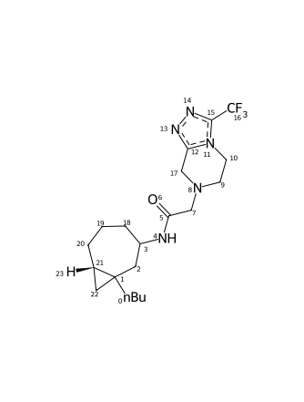 CCCCC12CC(NC(=O)CN3CCn4c(nnc4C(F)(F)F)C3)CCC[C@H]1C2